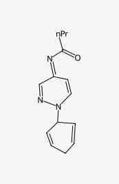 CCCC(=O)N=c1ccn(C2C=CCC=C2)nc1